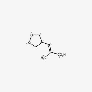 CC(=CC1COOC1)C(=O)O